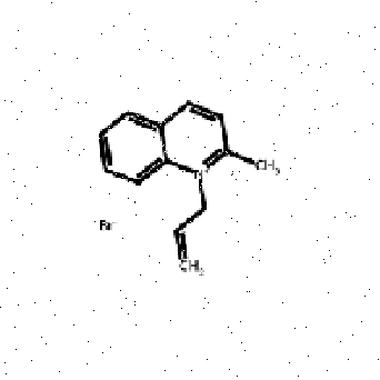 C=CC[n+]1c(C)ccc2ccccc21.[Br-]